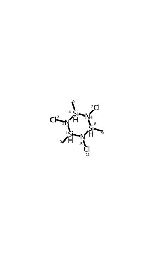 C[SiH]1N(Cl)[SiH](C)N(Cl)[SiH](C)N1Cl